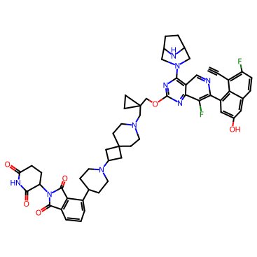 C#Cc1c(F)ccc2cc(O)cc(-c3ncc4c(N5CC6CCC(C5)N6)nc(OCC5(CN6CCC7(CC6)CC(N6CCC(c8cccc9c8C(=O)N(C8CCC(=O)NC8=O)C9=O)CC6)C7)CC5)nc4c3F)c12